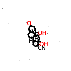 C[C@]12CCC(=O)C=C1CC[C@@H]1[C@@H]2[C@@H](O)C[C@@]2(C)[C@H]1CC[C@]2(O)C#N